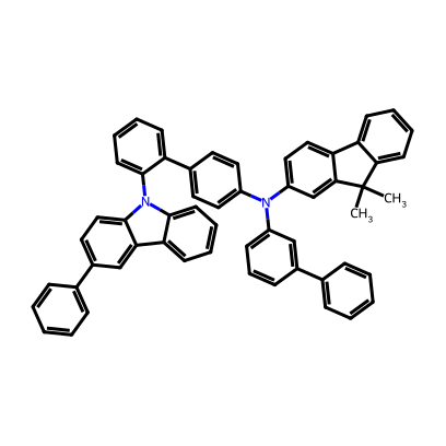 CC1(C)c2ccccc2-c2ccc(N(c3ccc(-c4ccccc4-n4c5ccccc5c5cc(-c6ccccc6)ccc54)cc3)c3cccc(-c4ccccc4)c3)cc21